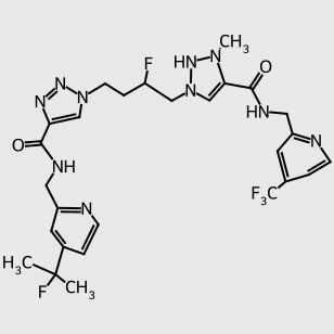 CN1NN(CC(F)CCn2cc(C(=O)NCc3cc(C(C)(C)F)ccn3)nn2)C=C1C(=O)NCc1cc(C(F)(F)F)ccn1